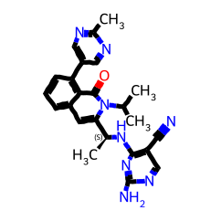 Cc1ncc(-c2cccc3cc([C@H](C)Nc4nc(N)ncc4C#N)n(C(C)C)c(=O)c23)cn1